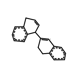 [C]1=C(C2C=CCc3ccccc32)CCc2ccccc21